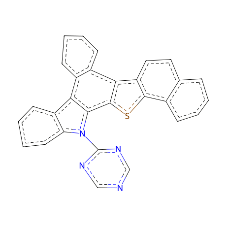 c1ccc2c(c1)ccc1c2sc2c1c1ccccc1c1c3ccccc3n(-c3ncncn3)c21